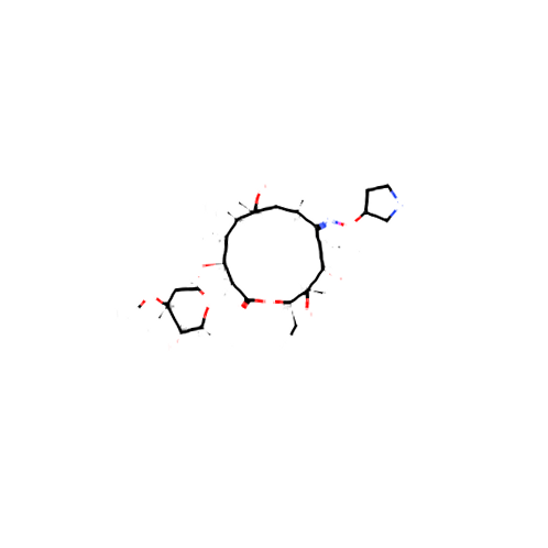 CC[C@H]1OC(=O)[C@H](C)[C@@H](O[C@H]2C[C@@](C)(OC)[C@@H](O)[C@H](C)O2)[C@H](C)[C@@H](C)[C@](C)(O)C[C@@H](C)C(=NOC2CCNC2)[C@H](C)[C@H](O)[C@]1(C)O